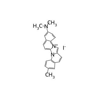 Cc1ccc2c(ccc3c[n+]4c5ccc(N(C)C)cc5ccc4n32)c1.[I-]